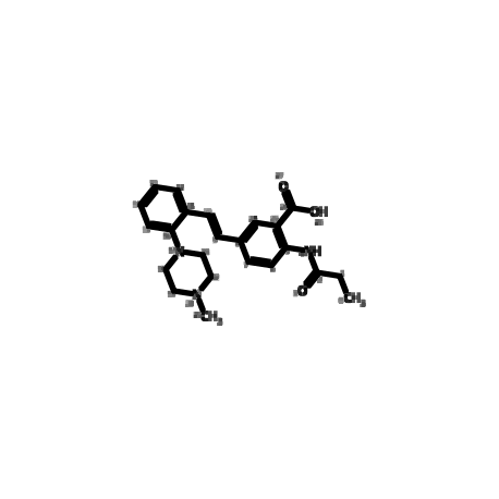 CCC(=O)Nc1ccc(C=Cc2ccccc2N2CCN(C)CC2)cc1C(=O)O